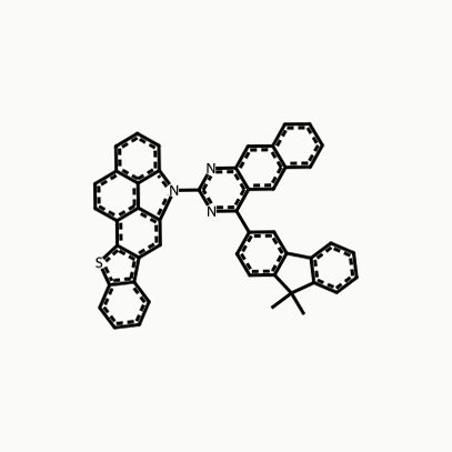 CC1(C)c2ccccc2-c2cc(-c3nc(-n4c5cccc6ccc7c8sc9ccccc9c8cc4c7c65)nc4cc5ccccc5cc34)ccc21